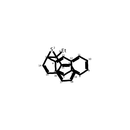 CCC12SC1(c1ccc3ccccc3c1)C=Cc1ccccc12